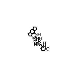 O=c1cccc(CNS(=O)(=O)c2nnc(Nc3c4c(cc5c3CCC5)CCC4)[nH]2)[nH]1